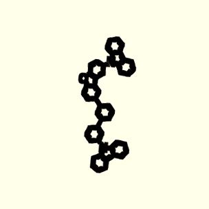 c1cc(-c2cccc(-n3c4ccccc4c4ccccc43)c2)cc(-c2ccc3oc4ccc(-n5c6ccccc6c6ccccc65)cc4c3c2)c1